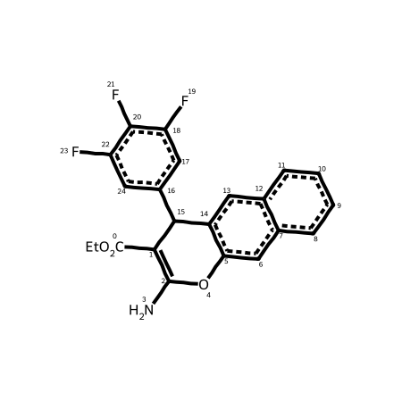 CCOC(=O)C1=C(N)Oc2cc3ccccc3cc2C1c1cc(F)c(F)c(F)c1